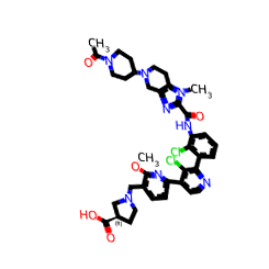 COc1nc(-c2ccnc(-c3cccc(NC(=O)c4nc5c(n4C)CCN(C4CCN(C(C)=O)CC4)C5)c3Cl)c2Cl)ccc1CN1CC[C@@H](C(=O)O)C1